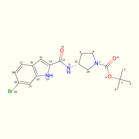 CC(C)(C)OC(=O)N1CC[C@@H](NC(=O)c2cc3ccc(Br)cc3[nH]2)C1